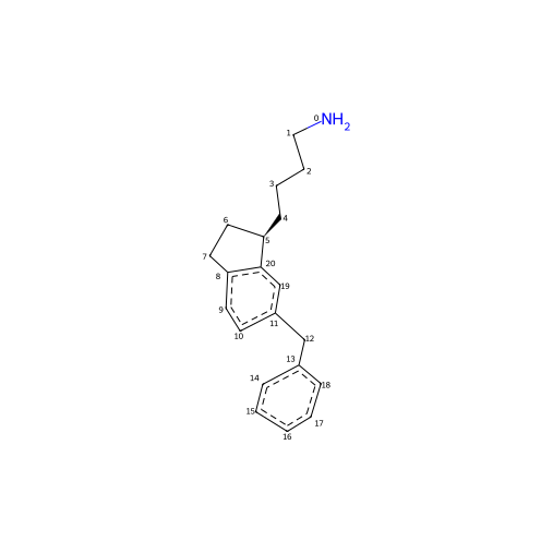 NCCCC[C@@H]1CCc2ccc(Cc3ccccc3)cc21